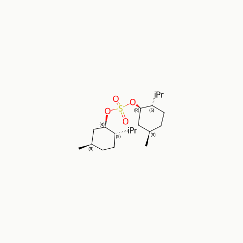 CC(C)[C@@H]1CC[C@@H](C)C[C@H]1OS(=O)(=O)O[C@@H]1C[C@H](C)CC[C@H]1C(C)C